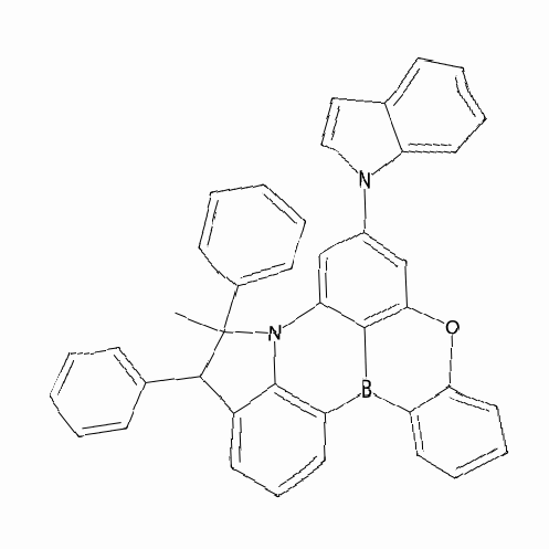 CC1(c2ccccc2)C(c2ccccc2)c2cccc3c2N1c1cc(-n2ccc4ccccc42)cc2c1B3c1ccccc1O2